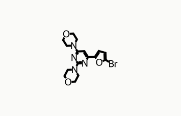 Brc1ccc(-c2cc(N3CCOCC3)nc(N3CCOCC3)n2)o1